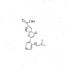 CC(C)COc1ccccc1-c1cc(=O)c2cc(C(=O)O)ccc2o1